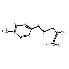 CC(CCCc1ccc(C)cc1)=C(F)F